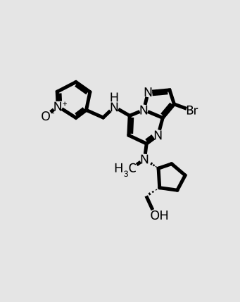 CN(c1cc(NCc2ccc[n+]([O-])c2)n2ncc(Br)c2n1)[C@@H]1CCC[C@@H]1CO